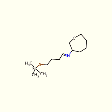 C[Si](C)(C)SCCCC=NC1CCCCCC1